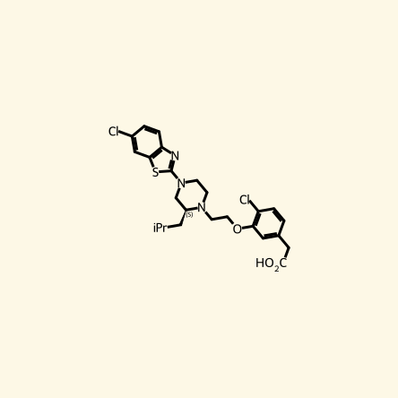 CC(C)C[C@H]1CN(c2nc3ccc(Cl)cc3s2)CCN1CCOc1cc(CC(=O)O)ccc1Cl